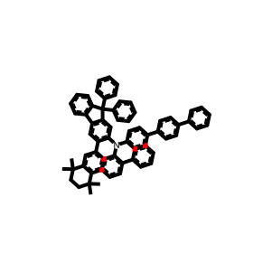 CC1(C)CCC(C)(C)c2cc(-c3cc4c(cc3N(c3ccc(-c5ccc(-c6ccccc6)cc5)cc3)c3ccccc3-c3ccccc3)C(c3ccccc3)(c3ccccc3)c3ccccc3-4)ccc21